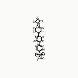 CN(C)S(=O)(=O)c1ccc(-c2ccc(C3CCN(C4CCC4)CC3)nc2)cc1